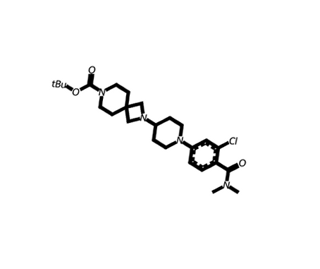 CN(C)C(=O)c1ccc(N2CCC(N3CC4(CCN(C(=O)OC(C)(C)C)CC4)C3)CC2)cc1Cl